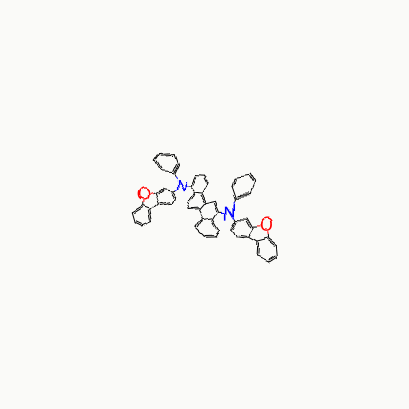 c1ccc(N(c2ccc3c(c2)oc2ccccc23)c2cc3c4cccc(N(c5ccccc5)c5ccc6c(c5)oc5ccccc56)c4ccc3c3ccccc23)cc1